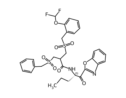 CCC[C@H](NC(=O)C(CS(=O)(=O)Cc1ccccc1)CS(=O)(=O)Cc1ccccc1OC(F)F)C(=O)c1nc2ccccc2o1